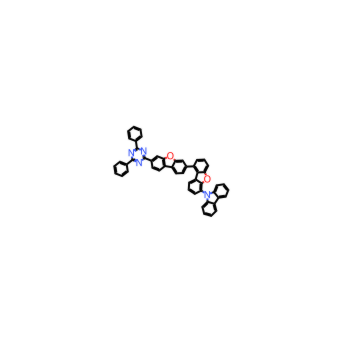 c1ccc(-c2nc(-c3ccccc3)nc(-c3ccc4c(c3)oc3cc(-c5cccc6oc7c(-n8c9ccccc9c9ccccc98)cccc7c56)ccc34)n2)cc1